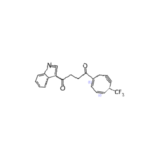 O=C(CCC(=O)/C1=C/C=C\C(C(F)(F)F)C#CC1)C1=C=Nc2ccccc21